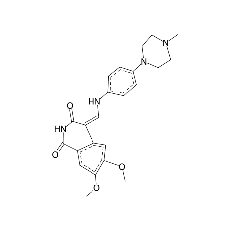 COc1cc2c(cc1OC)/C(=C/Nc1ccc(N3CCN(C)CC3)cc1)C(=O)NC2=O